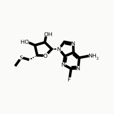 CSC[C@H]1O[C@@H](n2cnc3c(N)nc(F)nc32)C(O)C1O